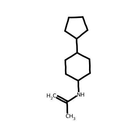 C=C(C)NC1CCC(C2CCCC2)CC1